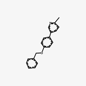 Cc1ccc(-c2ccc(OCc3ccccc3)cc2)cn1